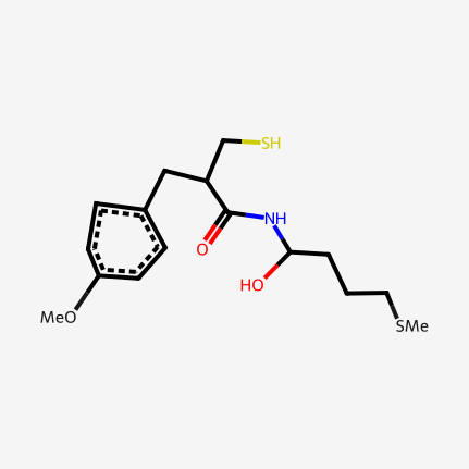 COc1ccc(CC(CS)C(=O)NC(O)CCCSC)cc1